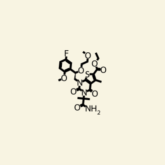 CCOC(=O)c1sc2c(c1C)c(=O)n(C(C)(C)C(N)=O)c(=O)n2C[C@H](OCCOC)c1cc(F)ccc1OC